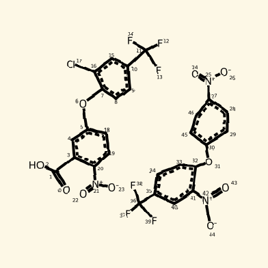 O=C(O)c1cc(Oc2ccc(C(F)(F)F)cc2Cl)ccc1[N+](=O)[O-].O=[N+]([O-])c1ccc(Oc2ccc(C(F)(F)F)cc2[N+](=O)[O-])cc1